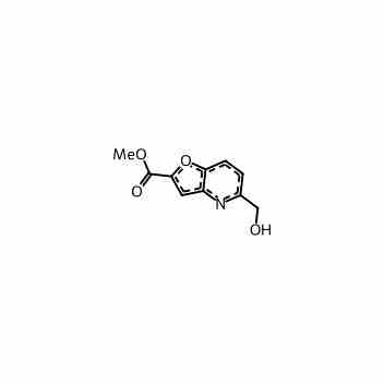 COC(=O)c1cc2nc(CO)ccc2o1